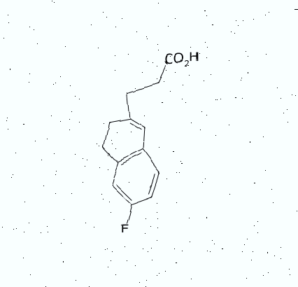 O=C(O)CCC1=Cc2ccc(F)cc2CC1